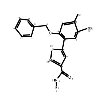 CCNC(=O)c1cc(-c2cc(C(C)(C)C)c(C)cc2OCc2ccccc2)on1